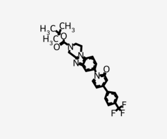 CC(C)(C)OC(=O)N1CCn2c(nc3cc(-n4ccc(-c5ccc(C(F)(F)F)cc5)cc4=O)ccc32)C1